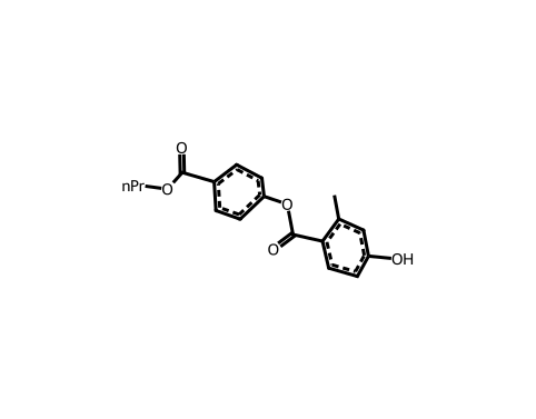 CCCOC(=O)c1ccc(OC(=O)c2ccc(O)cc2C)cc1